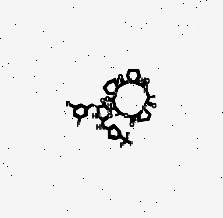 C[C@@H]1NC(=O)[C@@H]2CCCCN2C(=O)[C@@H]2CCCCN2C(=O)[C@@H](NC(=O)[C@H](Cc2cc(F)cc(F)c2)NC(=O)Nc2ccc(C(F)(F)F)cc2)[C@H](C)OC(=O)[C@@H]2CCCN2C1=O